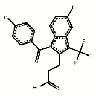 O=C(O)CCc1c(C(F)(F)F)c2cc(F)ccc2n1C(=O)c1ccc(Cl)cc1